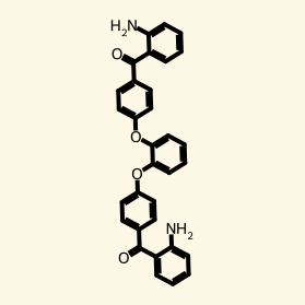 Nc1ccccc1C(=O)c1ccc(Oc2ccccc2Oc2ccc(C(=O)c3ccccc3N)cc2)cc1